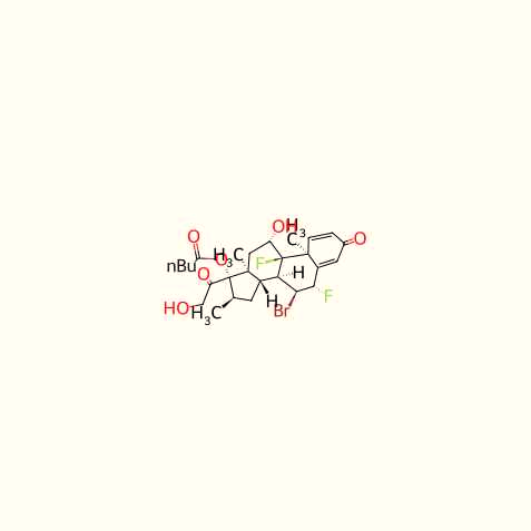 CCCCC(=O)O[C@@]1(C(=O)CO)[C@H](C)C[C@H]2[C@@H]3[C@H](Br)[C@@H](F)C4=CC(=O)C=C[C@]4(C)[C@@]3(F)[C@@H](O)C[C@@]21C